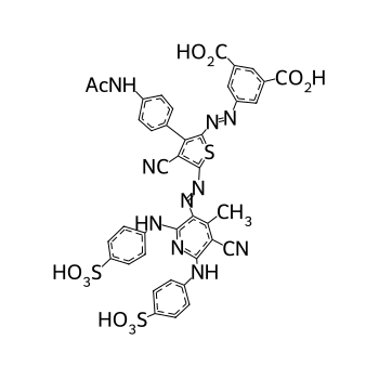 CC(=O)Nc1ccc(-c2c(N=Nc3cc(C(=O)O)cc(C(=O)O)c3)sc(N=Nc3c(Nc4ccc(S(=O)(=O)O)cc4)nc(Nc4ccc(S(=O)(=O)O)cc4)c(C#N)c3C)c2C#N)cc1